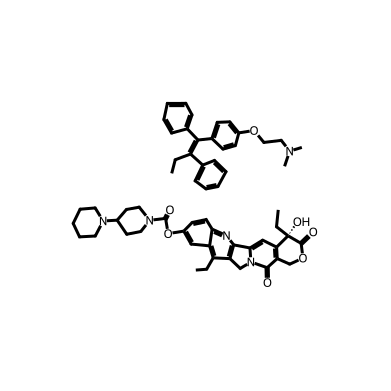 CC/C(=C(\c1ccccc1)c1ccc(OCCN(C)C)cc1)c1ccccc1.CCc1c2c(nc3ccc(OC(=O)N4CCC(N5CCCCC5)CC4)cc13)-c1cc3c(c(=O)n1C2)COC(=O)[C@]3(O)CC